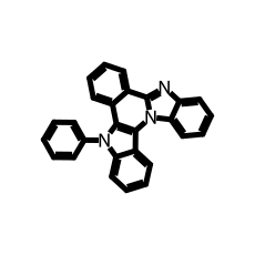 c1ccc(-n2c3ccccc3c3c2c2ccccc2c2nc4ccccc4n23)cc1